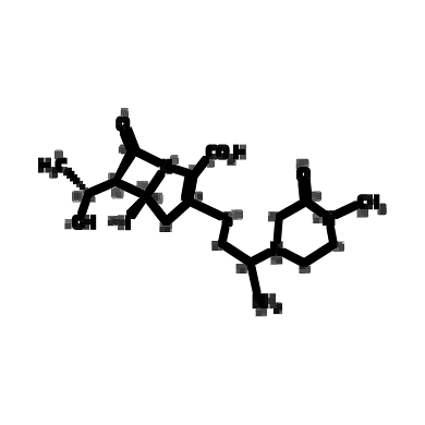 C[C@@H](O)[C@H]1C(=O)N2C(C(=O)O)=C(SCC(N)N3CCN(C)C(=O)C3)C[C@H]12